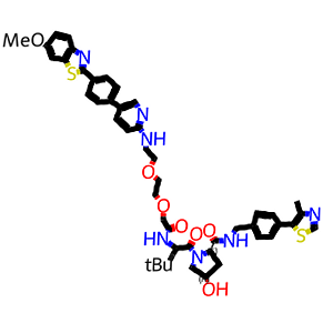 COc1ccc2nc(-c3ccc(-c4ccc(NCCOCCOCC(=O)NC(C(=O)N5C[C@H](O)C[C@H]5C(=O)NCc5ccc(-c6scnc6C)cc5)C(C)(C)C)nc4)cc3)sc2c1